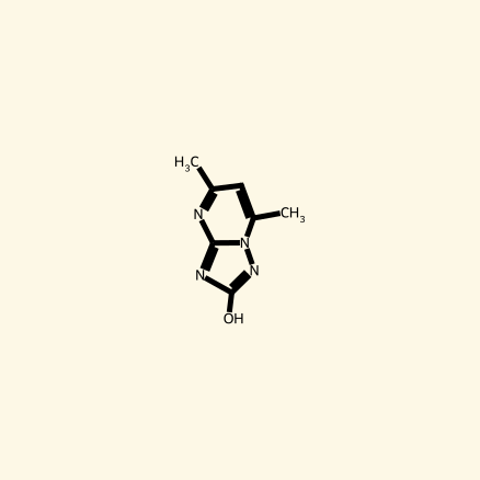 Cc1cc(C)n2nc(O)nc2n1